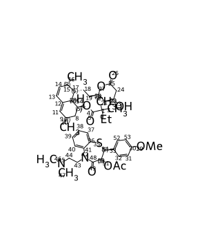 CCC(C)(C)C(=O)O[C@H]1C[C@@H](C)C=C2C=C[C@H](C)[C@H](CC[C@@H]3C[C@@H](O)CC(=O)O3)[C@H]21.COc1ccc([C@@H]2Sc3ccccc3N(CCN(C)C)C(=O)[C@@H]2OC(C)=O)cc1